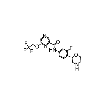 O=C(Nc1ccc([C@H]2CNCCO2)c(F)c1)c1cncc(OCC(F)(F)F)n1